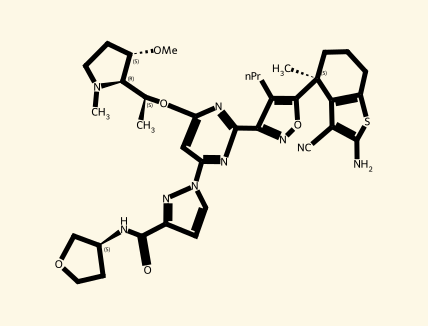 CCCc1c(-c2nc(O[C@@H](C)[C@@H]3[C@@H](OC)CCN3C)cc(-n3ccc(C(=O)N[C@H]4CCOC4)n3)n2)noc1[C@@]1(C)CCCc2sc(N)c(C#N)c21